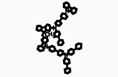 CC1(Cc2ccc3c(c2)c2ccccc2n3-c2ccc(-c3ccc(N(c4ccc(-c5ccccc5)cc4)c4ccc(-c5ccccc5)cc4)cc3)cc2)c2ccccc2-c2ccc(N(c3ccc(-c4ccccc4)cc3)c3ccc(-c4ccc(-n5c6ccccc6c6ccccc65)cc4)cc3)cc21